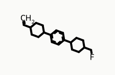 C=CC1CCC(c2ccc(C3CCC(CF)CC3)cc2)CC1